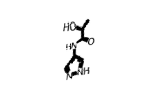 CC(O)C(=O)Nc1cn[nH]c1